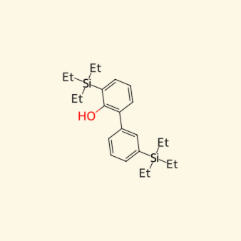 CC[Si](CC)(CC)c1cccc(-c2cccc([Si](CC)(CC)CC)c2O)c1